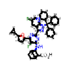 O=C(O)C1C2CCC(CC2)C1Nc1nc(-c2nn(C(c3ccccc3)(c3ccccc3)c3ccccc3)c3ncc(F)cc23)nc(-c2ccc(C3CC3)o2)c1F